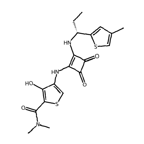 CC[C@@H](Nc1c(Nc2csc(C(=O)N(C)C)c2O)c(=O)c1=O)c1cc(C)cs1